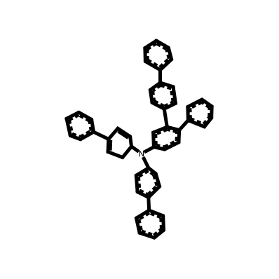 C1=CC(N(c2ccc(-c3ccccc3)cc2)c2ccc(-c3ccccc3)c(-c3ccc(-c4ccccc4)cc3)c2)CC=C1c1ccccc1